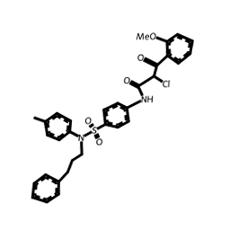 COc1ccccc1C(=O)C(Cl)C(=O)Nc1ccc(S(=O)(=O)N(CCCc2ccccc2)c2ccc(C)cc2)cc1